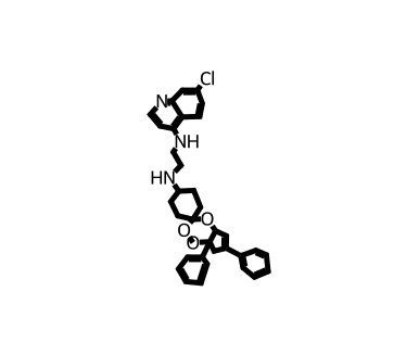 Clc1ccc2c(NCCNC3CCC4(CC3)OOC3(c5ccccc5)CC(c5ccccc5)=CC3O4)ccnc2c1